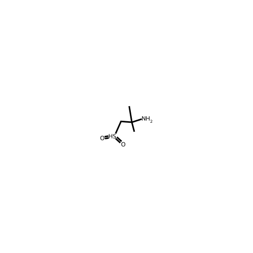 CC(C)(N)C[SH](=O)=O